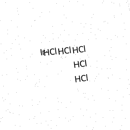 Cl.Cl.Cl.Cl.Cl.[Ir]